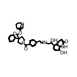 O=C(c1ccc(CCNC[C@H](O)c2ccc(O)c3[nH]c(=O)ccc23)cc1)N1CCC(C(=O)OC2CN3CCC2CC3)(c2ccccc2)CC1